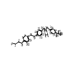 CCCCc1ccc(CCc2ccc(CNCc3ccc(C(F)(F)F)cc3)cc2)cc1